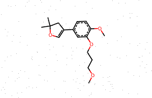 COCCCOc1cc(C2=COC(C)(C)C2)ccc1OC